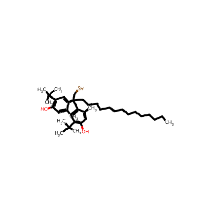 CCCCCCCCCCCCCCC(CS)(c1cc(C(C)(C)C)c(O)cc1C)c1cc(C(C)(C)C)c(O)cc1C